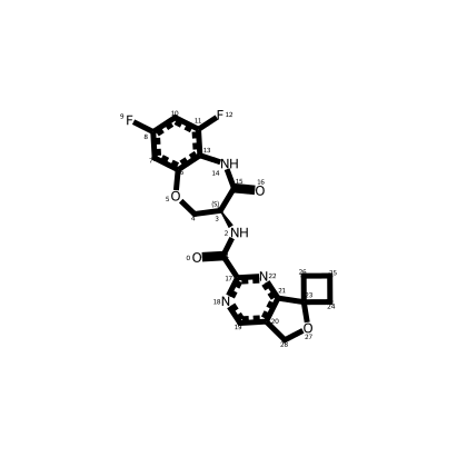 O=C(N[C@H]1COc2cc(F)cc(F)c2NC1=O)c1ncc2c(n1)C1(CCC1)OC2